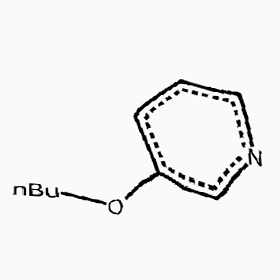 CCCCOc1cccnc1